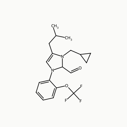 CC(C)CC1=CN(c2ccccc2OC(F)(F)F)C(C=O)N1CC1CC1